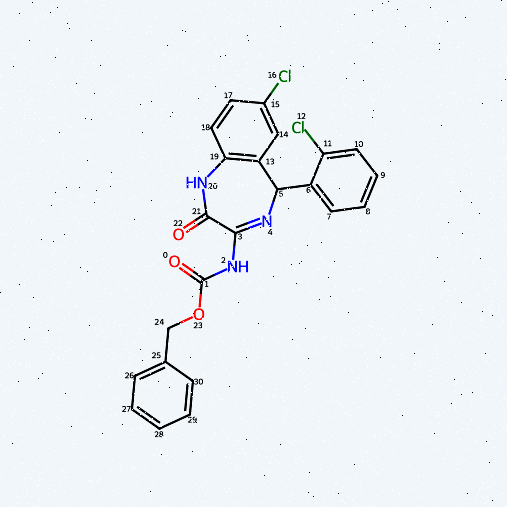 O=C(NC1=NC(c2ccccc2Cl)c2cc(Cl)ccc2NC1=O)OCc1ccccc1